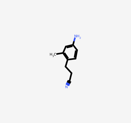 Cc1cc(N)ccc1CCC#N